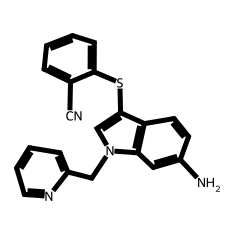 N#Cc1ccccc1Sc1cn(Cc2ccccn2)c2cc(N)ccc12